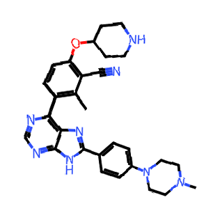 Cc1c(-c2ncnc3[nH]c(-c4ccc(N5CCN(C)CC5)cc4)nc23)ccc(OC2CCNCC2)c1C#N